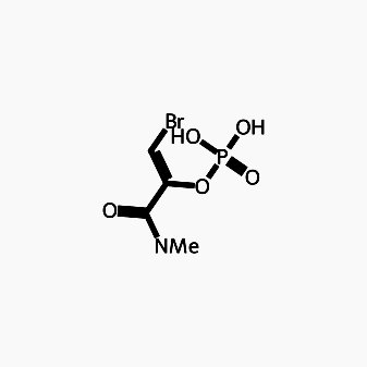 CNC(=O)C(=CBr)OP(=O)(O)O